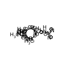 CC[C@@H]1COC(=O)N(CCc2ccc(NC(=O)CN(Cc3ccccn3)Cc3ccccn3)cc2)[C@H](C)[C@@H](C)C(=O)[C@H](C)C[C@](C)(OC)[C@H](O[C@H]2O[C@H](C)C[C@H](N(C)C)[C@H]2O)[C@@H](C)C(=O)[C@@](C)(F)C(=O)O1